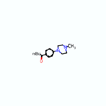 CCCCC(=O)c1ccc(N2CCN(C)CC2)cc1